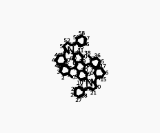 Cc1ccccc1-c1c2ccc(-n3c(C4=CC=CCC4)ccc3-c3ccccc3)cc2c(-c2ccccc2C)c2ccc(N3C(C4C=CC=CC4)=CCC3c3ccccc3)cc12